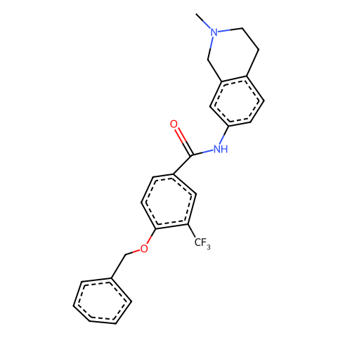 CN1CCc2ccc(NC(=O)c3ccc(OCc4ccccc4)c(C(F)(F)F)c3)cc2C1